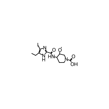 CCc1[nH]c(C(=O)NC2CCN(C(=O)O)CC2OC)nc1I